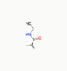 C=C(C)C(=O)NCC#N